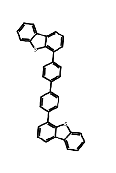 c1ccc2c(c1)sc1c(-c3ccc(-c4ccc(-c5cccc6c5sc5ccccc56)cc4)cc3)cccc12